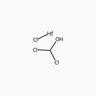 OC(Cl)Cl.[Cl][Hf]